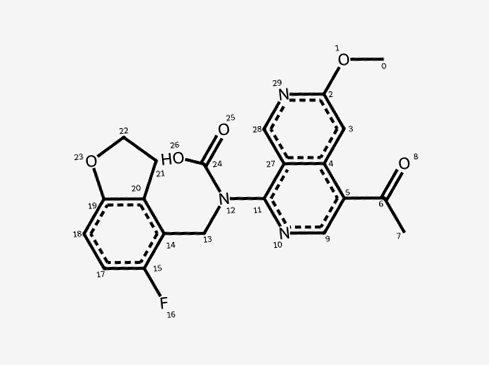 COc1cc2c(C(C)=O)cnc(N(Cc3c(F)ccc4c3CCO4)C(=O)O)c2cn1